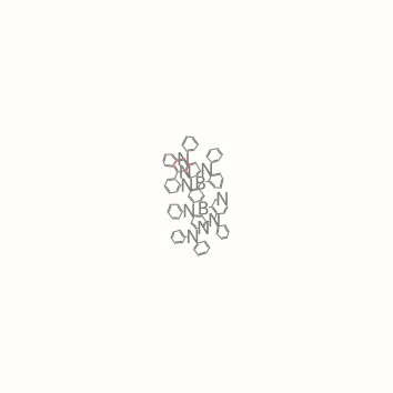 c1ccc(-c2ccccc2N2c3cc4c(cc3B3c5ccccc5N(c5ccccc5)c5cc(N(c6ccccc6)c6ccccc6)nc2c53)B2c3cnccc3N(c3ccccc3)c3nc(N(c5ccccc5)c5ccccc5)cc(c32)N4c2ccccc2)cc1